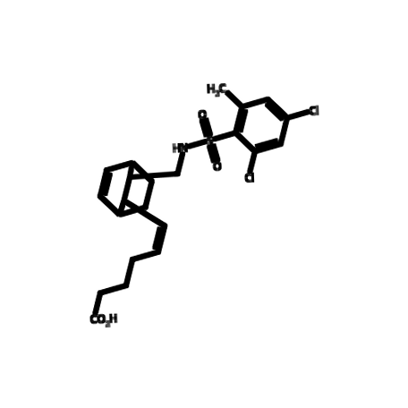 Cc1cc(Cl)cc(Cl)c1S(=O)(=O)NCC1C2C=CC(CC2)C1/C=C\CCCC(=O)O